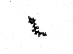 CC(CC(=O)NC(C)(C)C)NC(=O)CCc1ccc(F)cc1